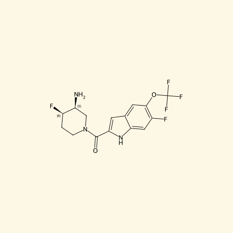 N[C@H]1CN(C(=O)c2cc3cc(OC(F)(F)F)c(F)cc3[nH]2)CC[C@H]1F